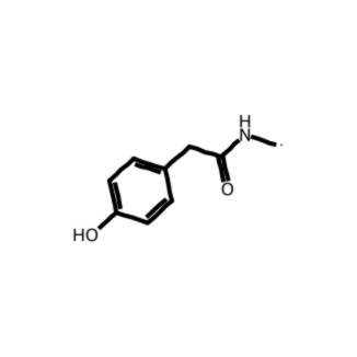 [CH2]NC(=O)Cc1ccc(O)cc1